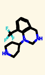 FC(F)(F)c1cccc2c1N(C1CCNCC1)CNC2